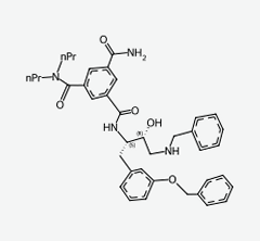 CCCN(CCC)C(=O)c1cc(C(N)=O)cc(C(=O)N[C@@H](Cc2cccc(OCc3ccccc3)c2)[C@H](O)CNCc2ccccc2)c1